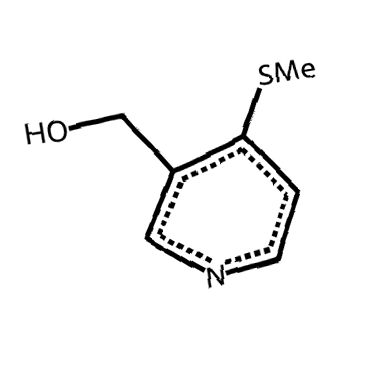 CSc1ccncc1CO